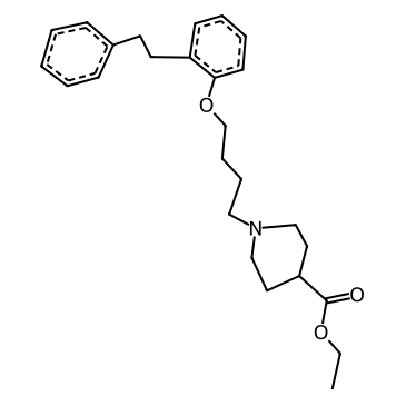 CCOC(=O)C1CCN(CCCCOc2ccccc2CCc2ccccc2)CC1